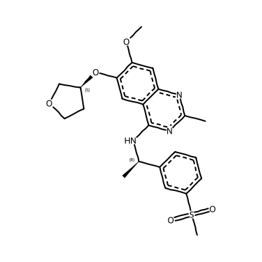 COc1cc2nc(C)nc(N[C@H](C)c3cccc(S(C)(=O)=O)c3)c2cc1O[C@H]1CCOC1